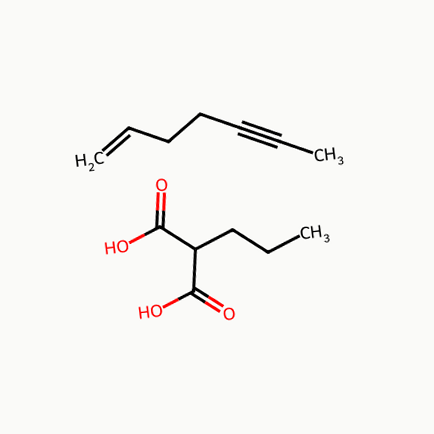 C=CCCC#CC.CCCC(C(=O)O)C(=O)O